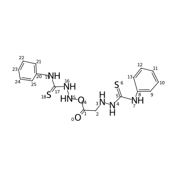 O=C(CNNC(=S)Nc1ccccc1)ONNC(=S)Nc1ccccc1